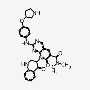 CN(C)C(=O)c1cc2cnc(Nc3ccc(OC4CCNC4)cc3)nc2n(C2CNc3ccccc3C2=O)c1=O